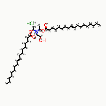 CCCCCCCCC=CCCCCCCCC(=O)OC(C)N(CCO)C(C)OC(=O)CCCCCCCC=CCCCCCCCC.Cl